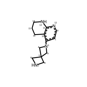 c1cc(N2CC3(CNC3)C2)c2c(n1)NCCC2